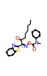 CCCCCCC(=O)/C(=N\OC(=O)N(C)c1ccccc1)c1nc2ccccc2s1